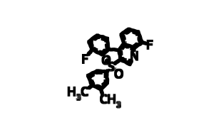 Cc1ccc(S(=O)(=O)c2cnc3c(F)cccc3c2-c2cccc(F)c2)cc1C